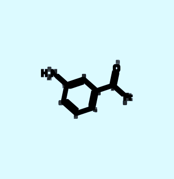 CCC(=O)c1cc[c]c(N)c1